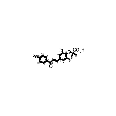 Cc1cc(/C=C/C(=O)c2ccc(C(C)C)cc2)cc(C)c1OC(C)(C)C(=O)O